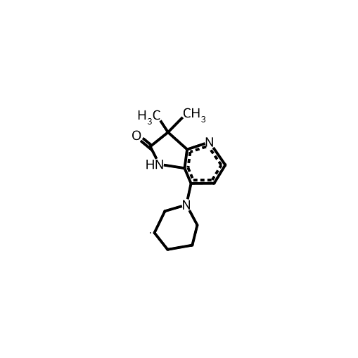 CC1(C)C(=O)Nc2c(N3C[CH]CCC3)ccnc21